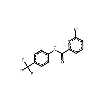 O=C(Nc1ccc(C(F)(F)F)cc1)c1cccc(Br)n1